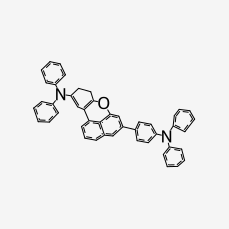 C1=C(N(c2ccccc2)c2ccccc2)CCC2=C1c1cccc3cc(-c4ccc(N(c5ccccc5)c5ccccc5)cc4)cc(c13)O2